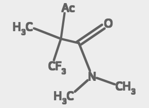 CC(=O)C(C)(C(=O)N(C)C)C(F)(F)F